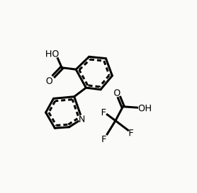 O=C(O)C(F)(F)F.O=C(O)c1ccccc1-c1ccccn1